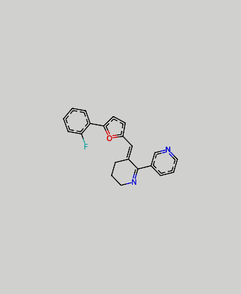 Fc1ccccc1-c1ccc(C=C2CCCN=C2c2cccnc2)o1